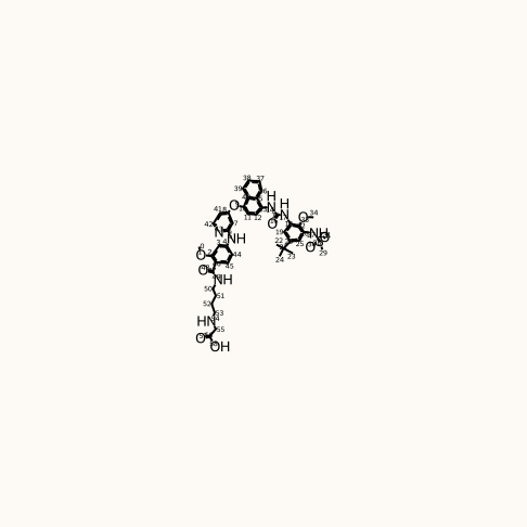 COc1cc(Nc2cc(Oc3ccc(NC(=O)Nc4cc(C(C)(C)C)cc(NS(C)(=O)=O)c4OC)c4ccccc34)ccn2)ccc1C(=O)NCCCCNCC(=O)O